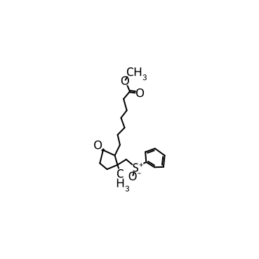 COC(=O)CCCCCCC1C(=O)CCC1(C)C[S+]([O-])c1ccccc1